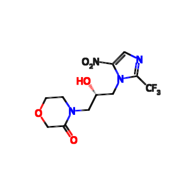 O=C1COCCN1C[C@H](O)Cn1c([N+](=O)[O-])cnc1C(F)(F)F